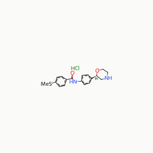 CSc1ccc(C(=O)Nc2ccc([C@@H]3CNCCO3)cc2)cc1.Cl